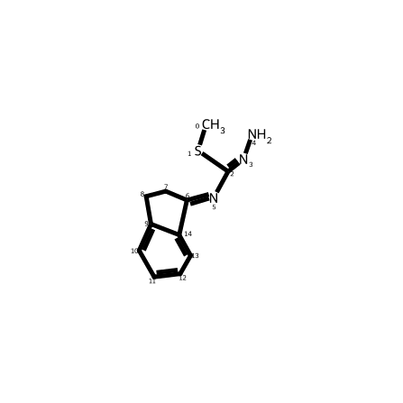 CSC(=NN)N=C1CCc2ccccc21